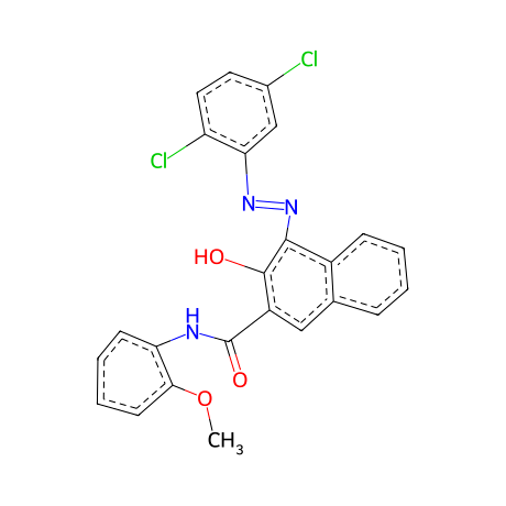 COc1ccccc1NC(=O)c1cc2ccccc2c(N=Nc2cc(Cl)ccc2Cl)c1O